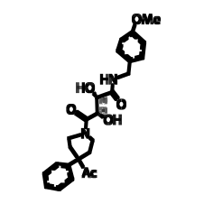 COc1ccc(CNC(=O)[C@H](O)[C@@H](O)C(=O)N2CCC(C(C)=O)(c3ccccc3)CC2)cc1